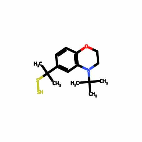 CC(C)(SS)c1ccc2c(c1)N(C(C)(C)C)CCO2